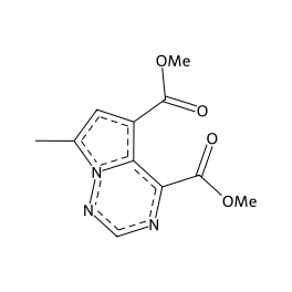 COC(=O)c1cc(C)n2ncnc(C(=O)OC)c12